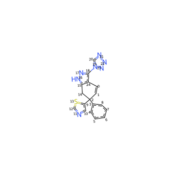 C1=CC(c2ccccc2)(c2cncs2)Cc2[nH]nc(-n3cnnn3)c21